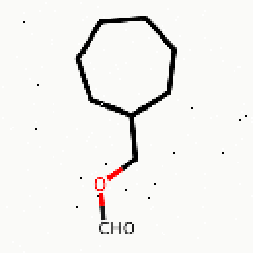 O=COCC1CCCCCC1